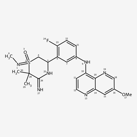 CN=S1(=O)CC(c2cc(Nc3ccnc4cc(OC)cnc34)ccc2F)NC(=N)C1(C)C